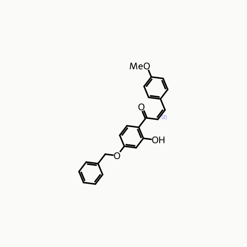 COc1ccc(/C=C\C(=O)c2ccc(OCc3ccccc3)cc2O)cc1